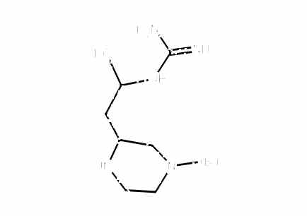 CC(CC1CN(C(C)(C)C)CCN1)NC(=N)N